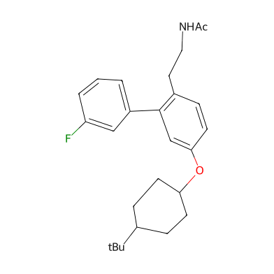 CC(=O)NCCc1ccc(OC2CCC(C(C)(C)C)CC2)cc1-c1cccc(F)c1